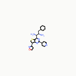 NC(Cc1ccccc1)C(N)c1nc(-c2ccncc2)nc2c(-c3ccon3)csc12